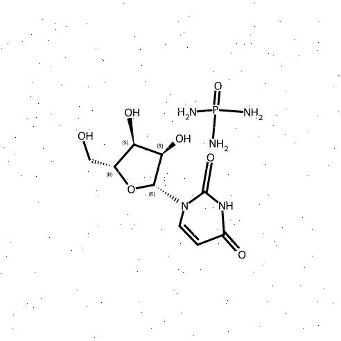 NP(N)(N)=O.O=c1ccn([C@@H]2O[C@H](CO)[C@@H](O)[C@H]2O)c(=O)[nH]1